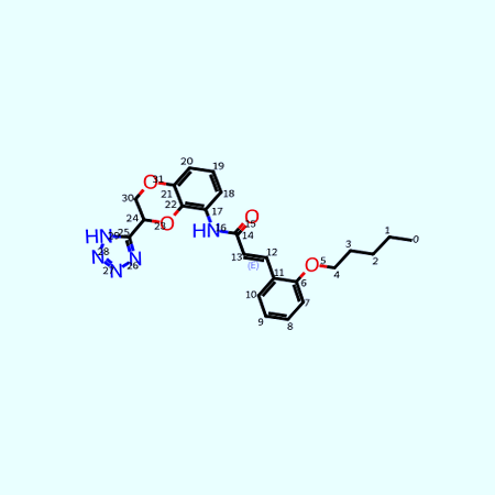 CCCCCOc1ccccc1/C=C/C(=O)Nc1cccc2c1OC(c1nnn[nH]1)CO2